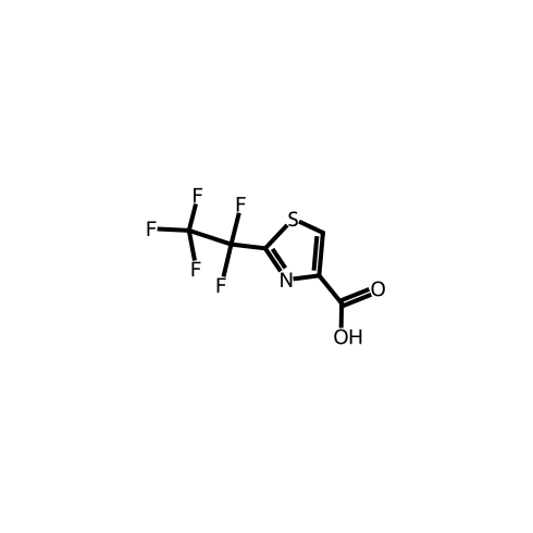 O=C(O)c1csc(C(F)(F)C(F)(F)F)n1